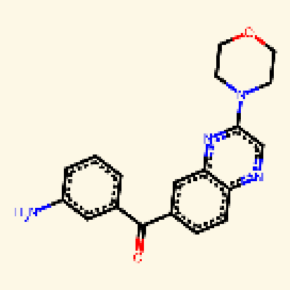 Nc1cccc(C(=O)c2ccc3ncc(N4CCOCC4)nc3c2)c1